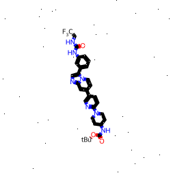 CC(C)(C)OC(=O)NC1CCN(c2ccc(-c3ccn4c(-c5cccc(NC(=O)NCC(F)(F)F)c5)cnc4c3)cn2)CC1